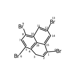 BrC1=CCc2c(Br)cc(Br)c3cc(Br)cc1c23